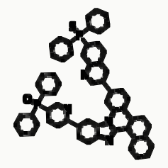 O=P(c1ccccc1)(c1ccccc1)c1ccc(-c2ccc3nc4c5c6ccccc6ccc5c5ccc(-c6cnc7cc(P(=S)(c8ccccc8)c8ccccc8)ccc7c6)cc5n4c3c2)nc1